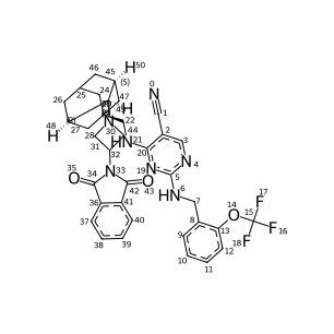 N#Cc1cnc(NCc2ccccc2OC(F)(F)F)nc1NC[C@]12CC3C[C@H](C1)[C@H](N1CC(N4C(=O)c5ccccc5C4=O)C1)[C@@H](C3)C2